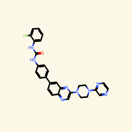 O=C(Nc1ccc(-c2ccc3ncc(N4CCN(c5cnccn5)CC4)nc3c2)cc1)Nc1ccccc1F